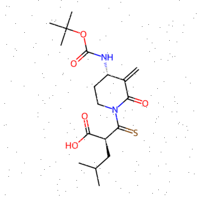 C=C1C(=O)N(C(=S)[C@@H](CC(C)C)C(=O)O)CC[C@@H]1NC(=O)OC(C)(C)C